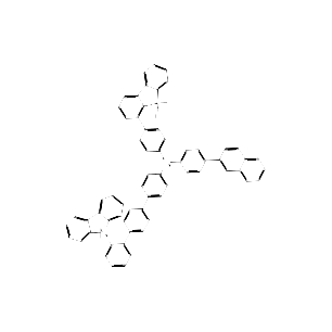 CC1(C)c2ccccc2-c2cccc(-c3ccc(N(c4ccc(-c5ccc(-c6ccccc6-n6c7ccccc7c7ccccc76)cc5)cc4)c4ccc(-c5ccc6ccccc6c5)cc4)cc3)c21